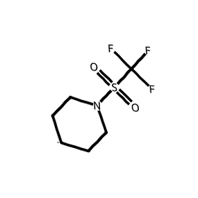 O=S(=O)(N1CC[CH]CC1)C(F)(F)F